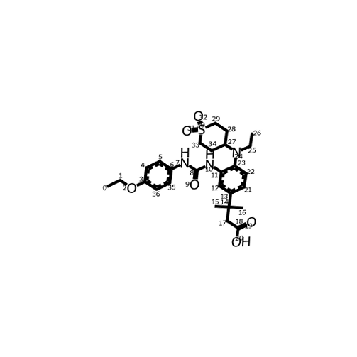 CCOc1ccc(NC(=O)Nc2cc(C(C)(C)CC(=O)O)ccc2N(CC)C2CCS(=O)(=O)CC2)cc1